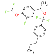 CCCc1ccc(C(F)(F)OC(C)c2ccc(OC(F)F)c(F)c2)cc1